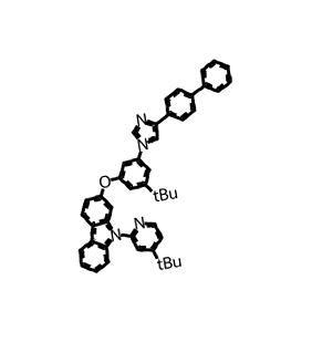 CC(C)(C)c1cc(Oc2ccc3c4ccccc4n(-c4cc(C(C)(C)C)ccn4)c3c2)cc(-n2cnc(-c3ccc(-c4ccccc4)cc3)c2)c1